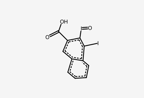 O=Ic1c(C(=O)O)cc2ccccc2c1I